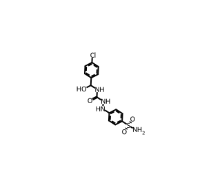 NS(=O)(=O)c1ccc(NNC(=O)NC(O)c2ccc(Cl)cc2)cc1